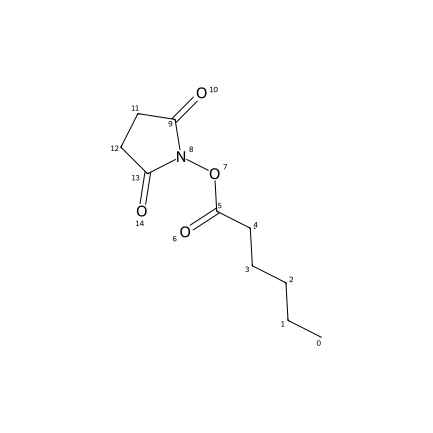 CCCC[CH]C(=O)ON1C(=O)CCC1=O